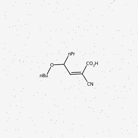 CCCCOC(C=C(C#N)C(=O)O)CCC